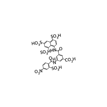 O=C(O)c1cc(NC(=O)c2ccc([N+](=O)[O-])cc2S(=O)(=O)O)cc(C(=O)Nc2ccc(S(=O)(=O)O)c3cc(S(=O)(=O)O)cc(S(=O)(=O)O)c23)c1